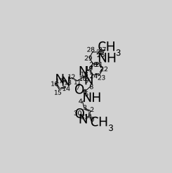 Cc1cc(CNC(=O)Cn2c(CCn3cccn3)nc3c4c(ccc32)N[C@@H](C)CC4)on1